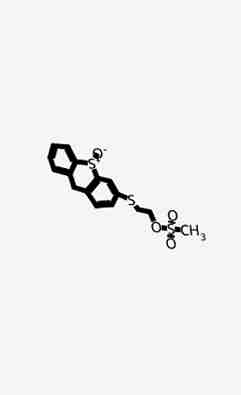 CS(=O)(=O)OCCSc1ccc2c(c1)[S+]([O-])c1ccccc1C2